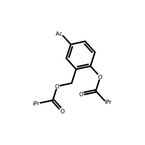 CC(=O)c1ccc(OC(=O)C(C)C)c(COC(=O)C(C)C)c1